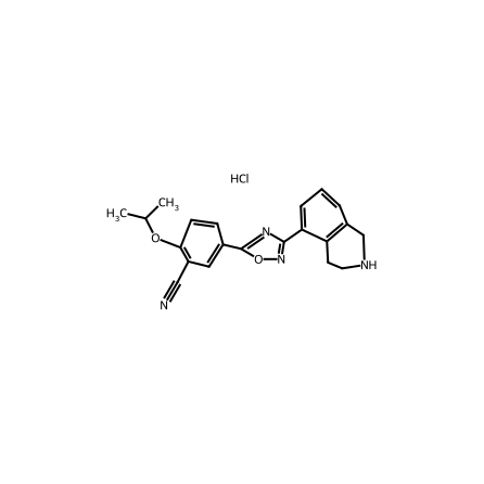 CC(C)Oc1ccc(-c2nc(-c3cccc4c3CCNC4)no2)cc1C#N.Cl